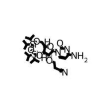 CC(C)[Si]1(C(C)C)OC[C@H]2O[C@@H](n3ccc(N)nc3=O)[C@H](OCCC#N)[C@@H]2O[Si](C(C)C)(C(C)C)O1